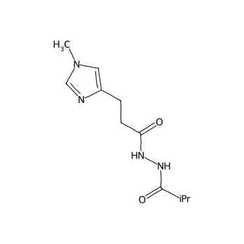 CC(C)C(=O)NNC(=O)CCc1cn(C)cn1